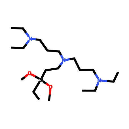 CCN(CC)CCCN(CCCN(CC)CC)CC[Si](CC)(OC)OC